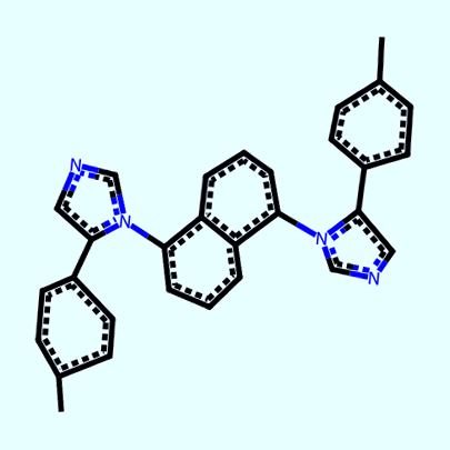 Cc1ccc(-c2cncn2-c2cccc3c(-n4cncc4-c4ccc(C)cc4)cccc23)cc1